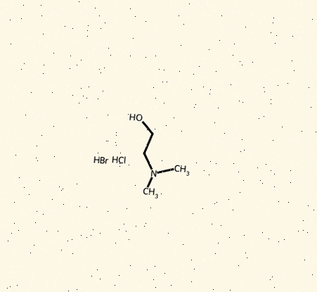 Br.CN(C)CCO.Cl